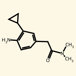 CN(C)C(=O)Cc1ccc(N)c(C2CC2)c1